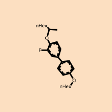 CCCCCCOc1ccc(-c2ccc(OC(C)CCCCCC)c(F)c2)cc1